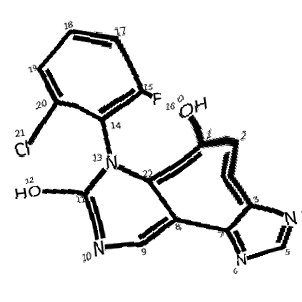 Oc1cc2ncnc2c2cnc(O)n(-c3c(F)cccc3Cl)c12